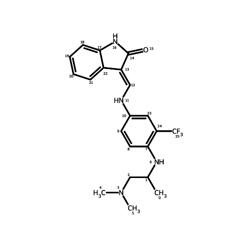 CC(CN(C)C)Nc1ccc(N/C=C2/C(=O)Nc3ccccc32)cc1C(F)(F)F